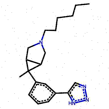 CCCCCCN1CC2C(C1)C2(C)c1cccc(-c2cnn[nH]2)c1